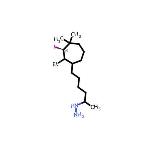 CCC1C(CCCCC(C)NN)CCCC(C)(C)[C@@H]1I